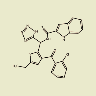 CCc1cc(C(=O)c2ccccc2Cl)c(C(NC(=O)c2cc3ccccc3[nH]2)c2nnn[nH]2)s1